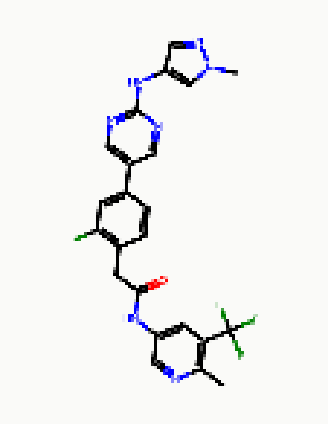 Cc1ncc(NC(=O)Cc2ccc(-c3cnc(Nc4cnn(C)c4)nc3)cc2F)cc1C(F)(F)F